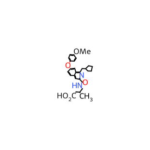 COc1ccc(Oc2ccc3cc(C(=O)NCC(C)CC(=O)O)nc(CC4CCCC4)c3c2)cc1